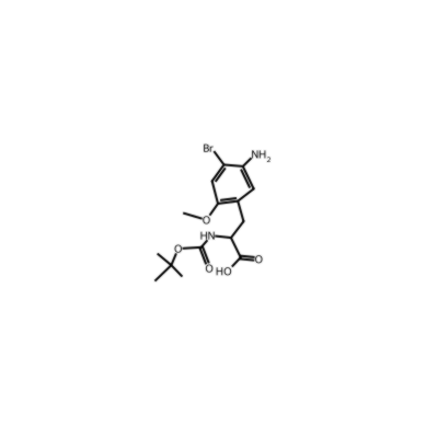 COc1cc(Br)c(N)cc1CC(NC(=O)OC(C)(C)C)C(=O)O